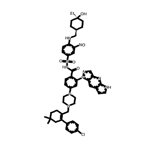 CC[C@]1(O)CC[C@@H](CNc2ccc(S(=O)(=O)NC(=O)c3ccc(N4CCN(CC5=C(c6ccc(Cl)cc6)CC(C)(C)CC5)CC4)cc3-n3ncc4nc5[nH]ccc5cc43)cc2N=O)CC1